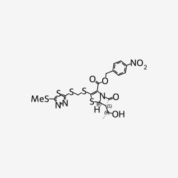 CSc1nnc(SCSC2=C(C(=O)OCc3ccc([N+](=O)[O-])cc3)N3C(=O)[C@H]([C@@H](C)O)[C@H]3S2)s1